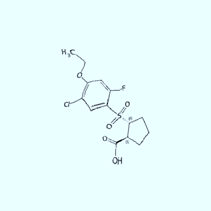 CCOc1cc(F)c(S(=O)(=O)[C@@H]2CCC[C@H]2C(=O)O)cc1Cl